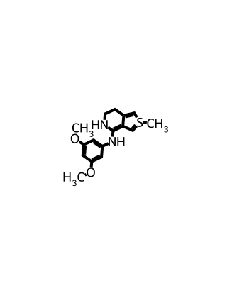 COc1cc(NC2=C3C=S(C)C=C3CCN2)cc(OC)c1